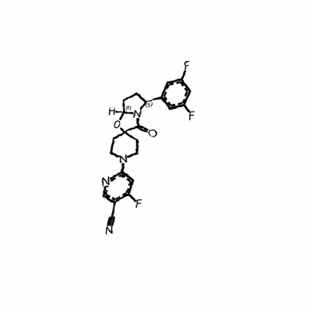 N#Cc1cnc(N2CCC3(CC2)O[C@@H]2CC[C@@H](c4cc(F)cc(F)c4)N2C3=O)cc1F